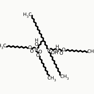 CCCCCCCCCCCCCCC(CCCCN(CCCCCCCCCCCCCC)CC(O)CNCC(=O)OCCCCCCCCCCCC)CCC(O)CN(CC(=O)OCCCCCCCCCCCC)CC(=O)OCCCCCCCCCCCC